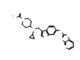 CC(C)(C)OC(=O)N1CCC(N(Cc2coc3cc(Oc4nc5ncccc5s4)ccc23)C2CC2)CC1